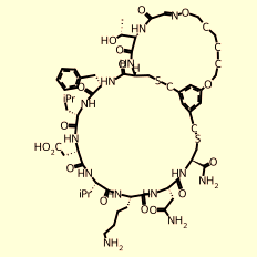 CC(C)C[C@@H]1NC(=O)[C@H](Cc2ccccc2)NC(=O)[C@@H]2CSCc3cc(cc(c3)OCCCCCCO/N=C/C(=O)N[C@@H]([C@@H](C)O)C(=O)N2)CSC[C@@H](C(N)=O)NC(=O)[C@H](CC(N)=O)NC(=O)[C@H](CCCCN)NC(=O)[C@H](C(C)C)NC(=O)[C@H](CC(=O)O)NC1=O